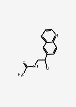 CC(=O)NCC(Cl)c1ccc2ncccc2c1